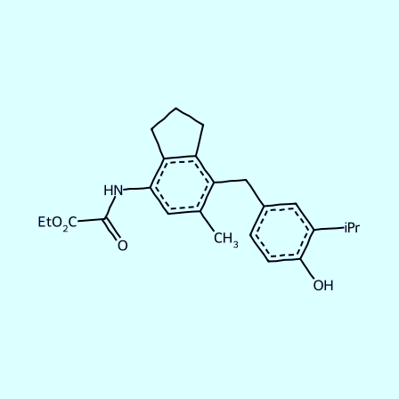 CCOC(=O)C(=O)Nc1cc(C)c(Cc2ccc(O)c(C(C)C)c2)c2c1CCC2